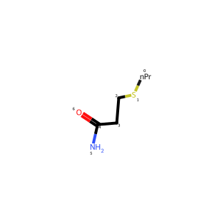 CCCSCCC(N)=O